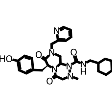 CN1CC(=O)N2C(CN(Cc3ccccn3)C(=O)[C@@H]2Cc2ccc(O)cc2)N1C(=O)NCC1CCCCC1